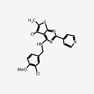 COc1ccc(CNc2nc(-c3ccncc3)nc3sc(C)c(Cl)c23)cc1Cl